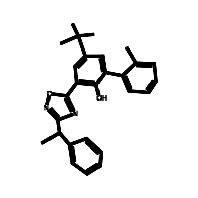 Cc1ccccc1-c1cc(C(C)(C)C)cc(-c2nc(C(C)c3ccccc3)no2)c1O